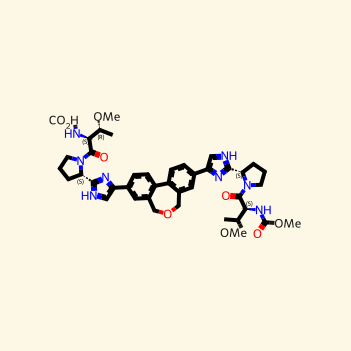 COC(=O)N[C@H](C(=O)N1CCC[C@H]1c1nc(-c2ccc3c(c2)COCc2cc(-c4c[nH]c([C@@H]5CCCN5C(=O)[C@@H](NC(=O)O)[C@@H](C)OC)n4)ccc2-3)c[nH]1)C(C)OC